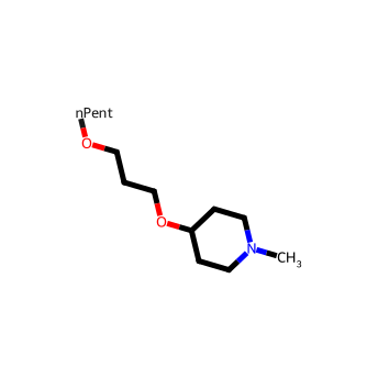 CCCCCOCCCOC1CCN(C)CC1